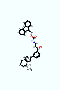 CC1=C(/C=C/c2cccc([C@@H](O)CCNC(=O)OCC3c4ccccc4-c4ccccc43)c2)C(C)(C)CCC1